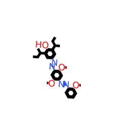 CCC(C)c1cc(N=Nc2cc(OC)c(N=Nc3ccccc3OC)cc2OC)cc(C(C)CC)c1O